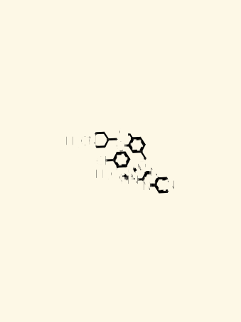 Cc1c(Cl)cccc1S(=O)(=O)Nc1nc2ccncc2nc1OCc1ccc(Cl)c(OCC2CCN(C)CC2)c1